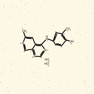 Cc1cc2c(Nc3ccc(O)c(C)c3)ncnc2cn1.Cl.Cl